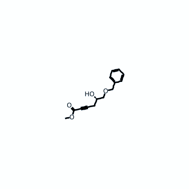 COC(=O)C#CC[C@@H](O)COCc1ccccc1